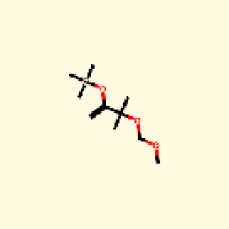 C=C(O[Si](C)(C)C)C(C)(C)OCOC